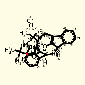 CCCC(C)(C)[Si](C)(C)OC1=C2CCC3=C(O[Si](C)(C)C(C)(C)CCC)[C@H]([Hf+2][C@H]1c1ccccc12)c1ccccc13.[Cl-].[Cl-]